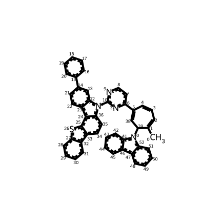 CC1=CC=CC(c2ccnc(-n3c4cc(-c5ccccc5)ccc4c4c5sc6ccccc6c5ccc43)n2)=CC1n1c2ccccc2c2ccccc21